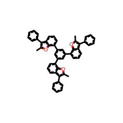 Cc1oc2c(-c3cc(-c4cccc5c(-c6ccccc6)c(C)oc45)cc(-c4cccc5c(-c6ccccc6)c(C)oc45)c3)cccc2c1-c1ccccc1